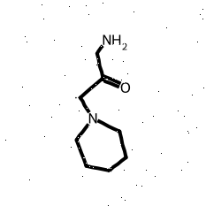 NCC(=O)[CH]N1CCCCC1